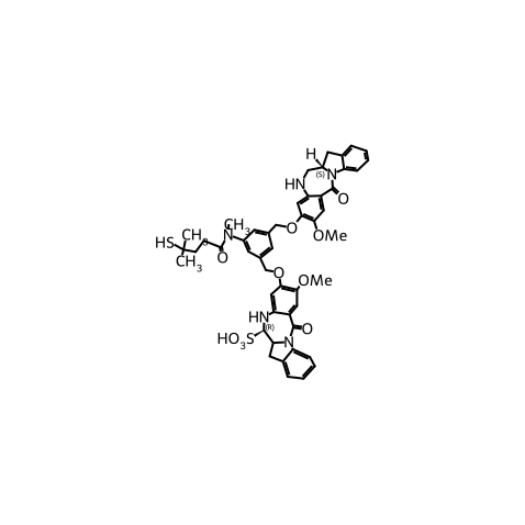 COc1cc2c(cc1OCc1cc(COc3cc4c(cc3OC)C(=O)N3c5ccccc5C[C@H]3CN4)cc(N(C)C(=O)CCC(C)(C)S)c1)N[C@H](S(=O)(=O)O)C1Cc3ccccc3N1C2=O